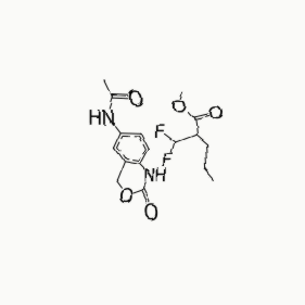 CC(=O)Nc1ccc2c(c1)COC(=O)N2.CCCC(C(=O)OC)C(F)F